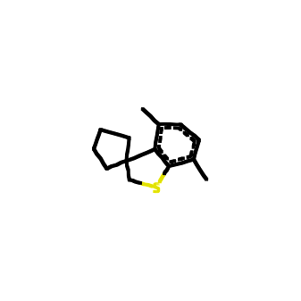 Cc1ccc(C)c2c1SCC21CCCC1